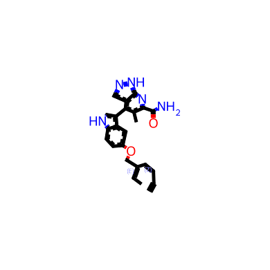 C#C/C=C\C(=C/C)COc1ccc2[nH]cc(-c3c(C)c(C(N)=O)nc4[nH]ncc34)c2c1